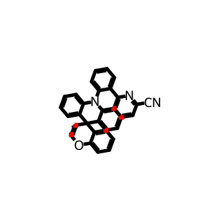 N#Cc1cccc(-c2ccccc2N2c3ccccc3C3(c4ccccc4Oc4ccccc43)c3ccccc32)n1